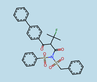 CC(C)(F)C(C(=O)c1ccc(-c2ccccc2)cc1)C(=O)N(S(=O)(=O)Cc1ccccc1)S(=O)(=O)c1ccccc1